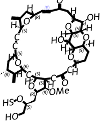 C=C1C[C@@H]2/C=C/C(=O)C[C@H]3O[C@H]4[C@@H](O)[C@H]5O[C@H](CC[C@@H]5O[C@H]4[C@H]3O)CC(=O)C[C@@H]3[C@@H](OC)[C@@H](C[C@@H](CO)OS)O[C@H]3C[C@H]3O[C@@H](CC[C@@H]1O2)C[C@@H](C)C3=C